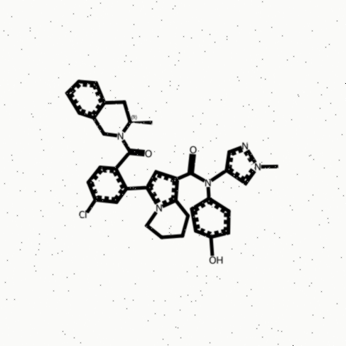 C[C@@H]1Cc2ccccc2CN1C(=O)c1ccc(Cl)cc1-c1cc(C(=O)N(c2ccc(O)cc2)c2cnn(C)c2)c2n1CCCC2